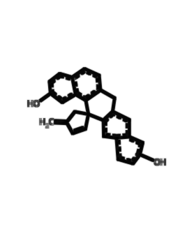 C=C1C=CC2(C1)c1cc3ccc(O)cc3cc1Cc1ccc3ccc(O)cc3c12